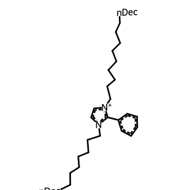 CCCCCCCCCCCCCCCCCCC[n+]1ccn(CCCCCCCCCCCCCCCCC)c1-c1ccccc1